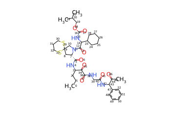 CCCC(NC(=O)[C@@H]1CC2(CN1C(=O)C(NC(=O)OCC(C)C)C1CCCCC1)SCCCS2)C(=O)C(=O)NCC(=O)NC(C(C)=O)c1ccccc1